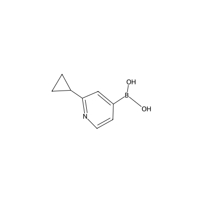 OB(O)c1ccnc(C2CC2)c1